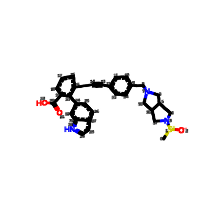 C[S+]([O-])N1CC2CN(Cc3ccc(C#Cc4cccc(C(=O)O)c4-c4ccc5cc[nH]c5c4)cc3)CC2C1